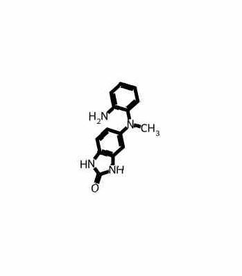 CN(c1ccc2[nH]c(=O)[nH]c2c1)c1ccccc1N